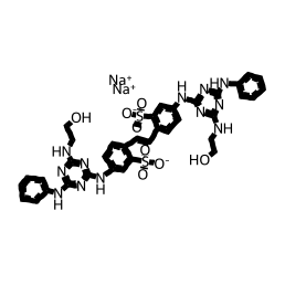 O=S(=O)([O-])c1cc(Nc2nc(NCCO)nc(Nc3ccccc3)n2)ccc1C=Cc1ccc(Nc2nc(NCCO)nc(Nc3ccccc3)n2)cc1S(=O)(=O)[O-].[Na+].[Na+]